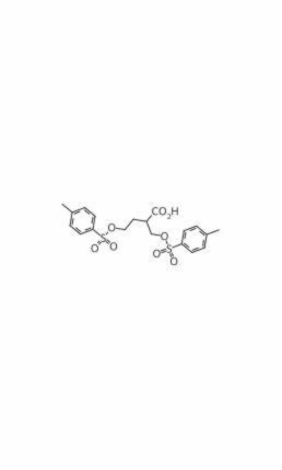 Cc1ccc(S(=O)(=O)OCCC(COS(=O)(=O)c2ccc(C)cc2)C(=O)O)cc1